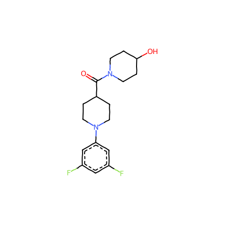 O=C(C1CCN(c2cc(F)cc(F)c2)CC1)N1CCC(O)CC1